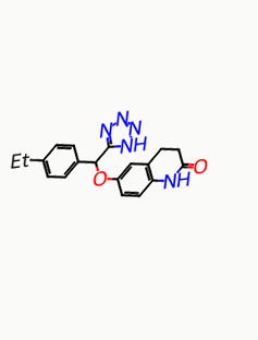 CCc1ccc(C(Oc2ccc3c(c2)CCC(=O)N3)c2nnn[nH]2)cc1